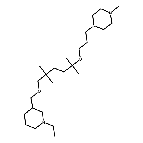 CCN1CCCC(COCC(C)(C)CCC(C)(C)OCCCN2CCN(C)CC2)C1